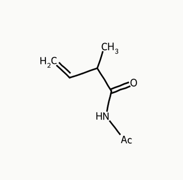 C=CC(C)C(=O)NC(C)=O